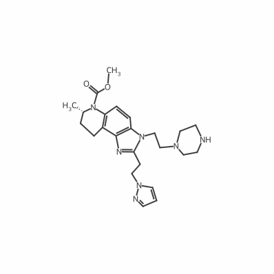 COC(=O)N1c2ccc3c(nc(CCn4cccn4)n3CCN3CCNCC3)c2CC[C@@H]1C